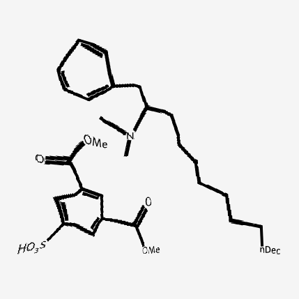 CCCCCCCCCCCCCCCCCC(Cc1ccccc1)N(C)C.COC(=O)c1cc(C(=O)OC)cc(S(=O)(=O)O)c1